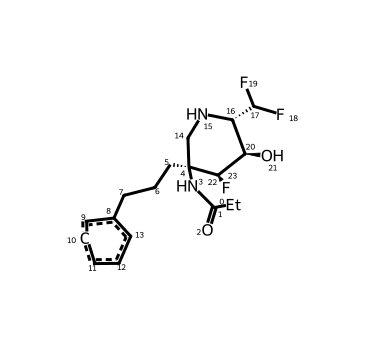 CCC(=O)N[C@@]1(CCCc2ccccc2)CN[C@H](C(F)F)[C@@H](O)[C@H]1F